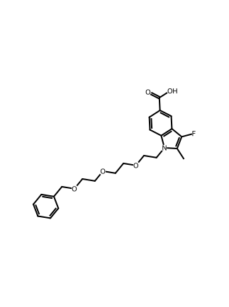 Cc1c(F)c2cc(C(=O)O)ccc2n1CCOCCOCCOCc1ccccc1